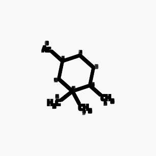 CC(=O)C1CCC(C)C(C)(C)C1